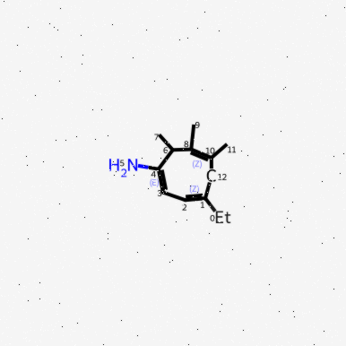 CC/C1=C/C=C(/N)C(C)/C(C)=C(/C)C1